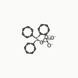 [O-][Cl+3]([O-])([O-])OS(c1ccccc1)(c1ccccc1)c1ccccc1